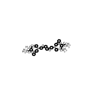 CC(C)(C)c1cc(-n2c3ccccc3c3ccc(N(c4ccccc4)c4ccc5c(c4)oc4ccc6c(ccc7oc8cc(N(c9ccccc9)c9ccc%10c%11ccccc%11n(-c%11cc(C(C)(C)C)cc(C(C)(C)C)c%11)c%10c9)ccc8c76)c45)cc32)cc(C(C)(C)C)c1